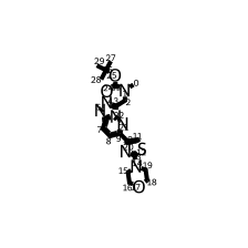 CN(Cc1nnc2ccc(-c3csc(N4CCOCC4)n3)nn12)C(=O)OC(C)(C)C